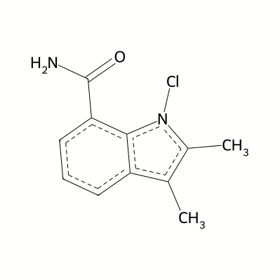 Cc1c(C)n(Cl)c2c(C(N)=O)cccc12